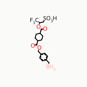 BCc1ccc(COC(=O)C2CCC(C(=O)OC(CS(=O)(=O)O)C(F)(F)F)CC2)cc1